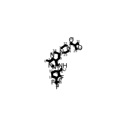 Cc1nnc(N[C@H](C)c2cccc(C(F)(F)F)c2F)c2cc(N3CCN(C(=O)C4COC4)CC3)cnc12